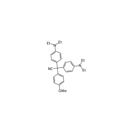 CCN(CC)c1ccc(C(C#N)(c2ccc(OC)cc2)c2ccc(N(CC)CC)cc2)cc1